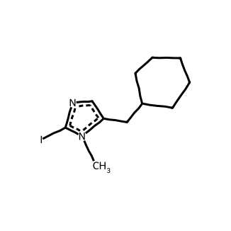 Cn1c(CC2CCCCC2)cnc1I